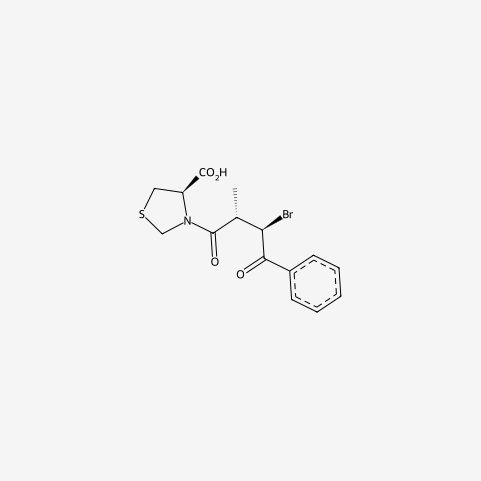 C[C@@H](C(=O)N1CSC[C@H]1C(=O)O)[C@@H](Br)C(=O)c1ccccc1